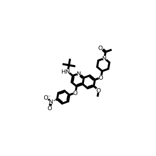 COc1cc2c(Oc3ccc([N+](=O)[O-])cc3)cc(NC(C)(C)C)nc2cc1OC1CCN(C(C)=O)CC1